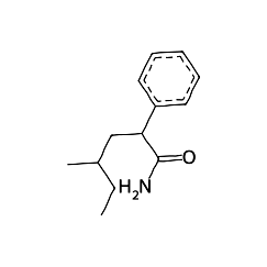 CCC(C)CC(C(N)=O)c1ccccc1